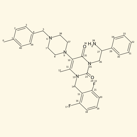 Cc1ccc(CN2CCN(c3c(C)n(Cc4c(F)cccc4F)c(=O)n(CC(N)c4ccccc4)c3=O)CC2)cc1